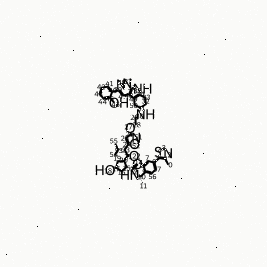 Cc1ncsc1-c1ccc([C@H](C)NC(=O)[C@@H]2C[C@@H](O)CC2C(=O)[C@@H](c2cc(OCCN[C@H]3CCc4[nH]c5nnc(-c6ccccc6O)cc5c4C3)no2)C(C)C)cc1